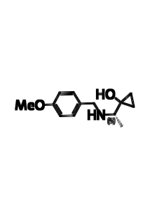 COc1ccc(CN[C@@H](C)C2(O)CC2)cc1